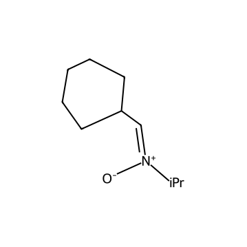 CC(C)[N+]([O-])=CC1CCCCC1